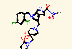 CCN(O)C(=O)c1cc2c(CN3CCC(O)(CN4CCCC4=O)CC3)cn(Cc3ccc(F)cc3F)c2cn1